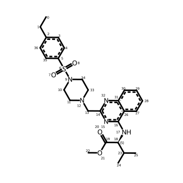 CCc1ccc(S(=O)(=O)N2CCN(Cc3nc(N[C@H](C(=O)OC)C(C)C)c4ccccc4n3)CC2)cc1